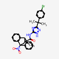 CC(C)(c1ccc(Br)cc1)c1n[nH]c(NC(=O)C2(C)CC3([N+](=O)[O-])c4ccccc4C2c2ccccc23)n1